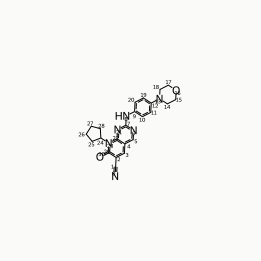 N#Cc1cc2cnc(Nc3ccc(N4CCOCC4)cc3)nc2n(C2CCCC2)c1=O